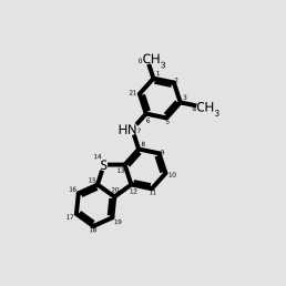 Cc1cc(C)cc(Nc2cccc3c2sc2ccccc23)c1